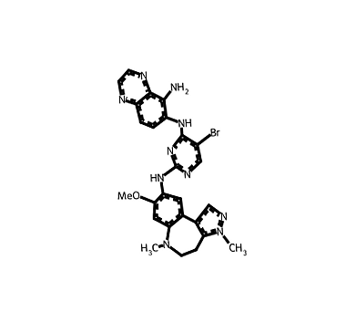 COc1cc2c(cc1Nc1ncc(Br)c(Nc3ccc4nccnc4c3N)n1)-c1cnn(C)c1CCN2C